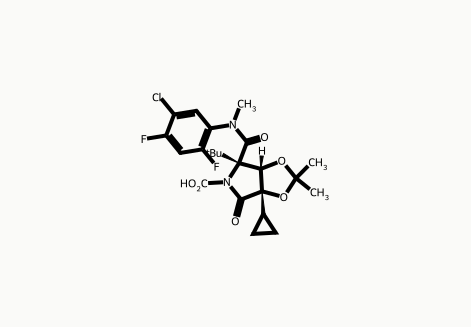 CN(C(=O)[C@]1(C(C)(C)C)[C@@H]2OC(C)(C)O[C@]2(C2CC2)C(=O)N1C(=O)O)c1cc(Cl)c(F)cc1F